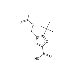 CC(=O)OCc1cc(C(=O)O)oc1C(C)(C)C